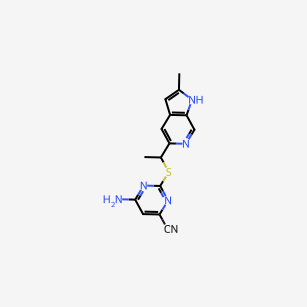 Cc1cc2cc(C(C)Sc3nc(N)cc(C#N)n3)ncc2[nH]1